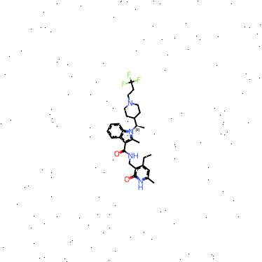 CCc1cc(C)[nH]c(=O)c1CNC(=O)c1c(C)n([C@H](C)C2CCN(CCC(F)(F)F)CC2)c2ccccc12